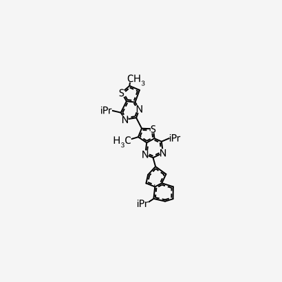 Cc1cc2nc(-c3sc4c(C(C)C)nc(-c5ccc6c(C(C)C)cccc6c5)nc4c3C)nc(C(C)C)c2s1